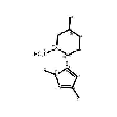 Cc1cc([C@H]2CC[C@H](C)CN2C(=O)O)n(C)n1